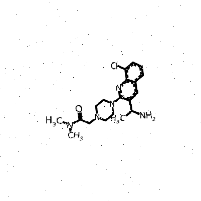 CC(N)c1cc2cccc(Cl)c2nc1N1CCN(CC(=O)N(C)C)CC1